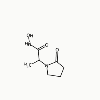 CC(C(=O)NO)N1CCCC1=O